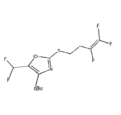 CC(C)(C)c1nc(SCCC(F)=C(F)F)oc1C(F)F